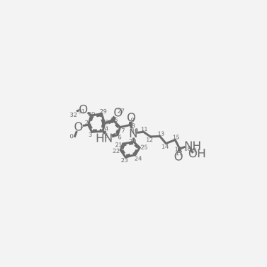 COc1cc2[nH]cc(C(=O)N(CCCCCC(=O)NO)c3ccccc3)c(=O)c2cc1OC